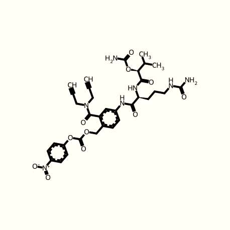 C#CCN(CC#C)C(=O)c1cc(NC(=O)[C@H](CCCNC(N)=O)NC(=O)[C@@H](OC(N)=O)C(C)C)ccc1COC(=O)Oc1ccc([N+](=O)[O-])cc1